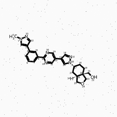 Cn1cc(-c2cccc(-c3ncc(-c4cnn([C@@H]5CC[C@]6(CO)COC[C@H]6C5)c4)cn3)c2)cn1